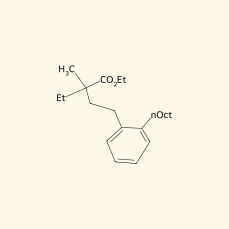 CCCCCCCCc1ccccc1CCC(C)(CC)C(=O)OCC